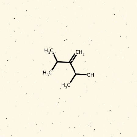 C=C(C(C)C)C(C)O